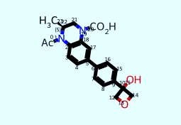 CC(=O)N1c2ccc(-c3ccc(C4(O)COC4)cc3)cc2N(C(=O)O)C[C@@H]1C